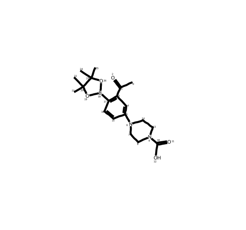 CC(=O)c1cc(N2CCN(C(=O)O)CC2)ccc1B1OC(C)(C)C(C)(C)O1